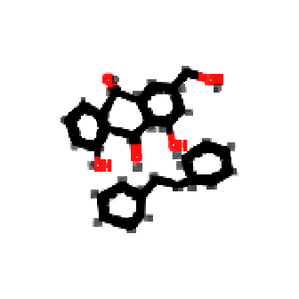 O=C1c2cccc(O)c2C(=O)c2c(O)cc(CO)cc21.c1ccc(CCc2ccccc2)cc1